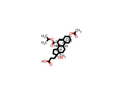 CC(=O)O[C@H]1CC[C@@]2(C)C(=C[C@H](C(=O)OC(C)C)[C@@H]3[C@@H]2CC[C@@]2(C)[C@H]3CC[C@@]2(O)CCC(=O)O)C1